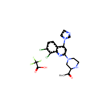 COC(=O)C1CN(c2cc(-n3ccnc3)c3ccc(Cl)c(Cl)c3n2)CCN1.O=C(O)C(F)(F)F